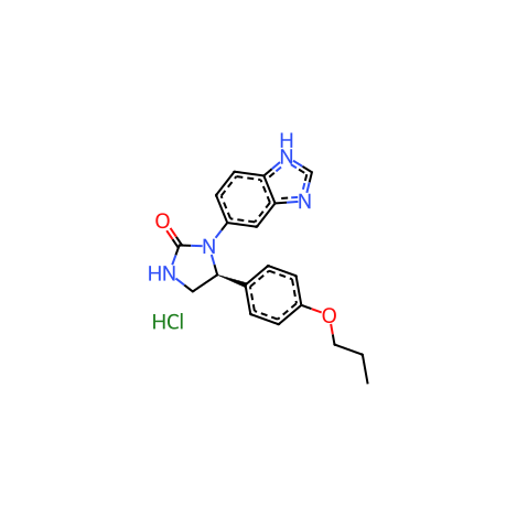 CCCOc1ccc([C@H]2CNC(=O)N2c2ccc3[nH]cnc3c2)cc1.Cl